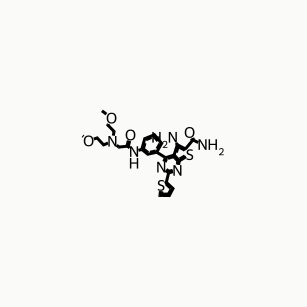 COCCN(CCOC)CC(=O)Nc1cccc(-c2nc(-c3cccs3)nc3sc(C(N)=O)c(N)c23)c1